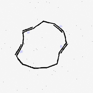 [C]1=C/CCCC/C=C/C=C\C/C=C/1